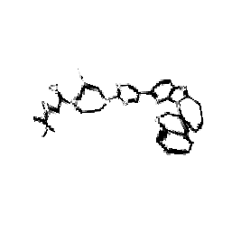 C[C@@H]1CN(c2ncc(-c3ccc4nc5n(c4n3)C3(CCC5)COc4ccccc43)cn2)CCN1C(=O)COC(C)(C)C